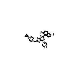 Fc1ccc2[nH]ccc2c1-c1nc(N2CCOCC2)c2nc(CN3CCN(C4CC4)CC3)sc2n1